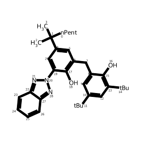 CCCCCC(C)(C)c1cc(Cc2cc(C(C)(C)C)cc(C(C)(C)C)c2O)c(O)c(-n2nc3ccccc3n2)c1